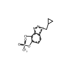 O=S(=O)(Oc1ccc2c(nnn2CC2CC2)c1Cl)C(F)(F)F